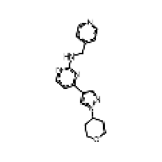 c1cc(CNc2nccc(-c3cnn(C4CCOCC4)c3)n2)ccn1